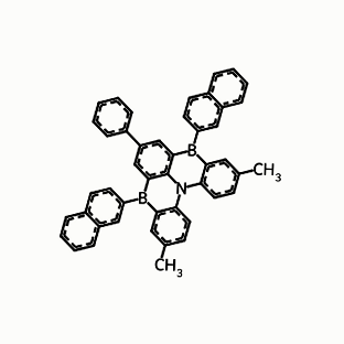 Cc1ccc2c(c1)B(c1ccc3ccccc3c1)c1cc(-c3ccccc3)cc3c1N2c1ccc(C)cc1B3c1ccc2ccccc2c1